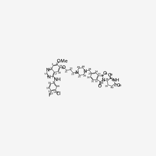 COc1cc2ncnc(Nc3ccc(F)c(Cl)c3)c2cc1OCCCN1CCN(Cc2ccc3c(c2)C(=O)N(C2CCC(=O)NC2=O)C3=O)CC1